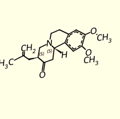 C=C(C)C[C@H]1CN2CCc3cc(OC)c(OC)cc3[C@@H]2CC1=O